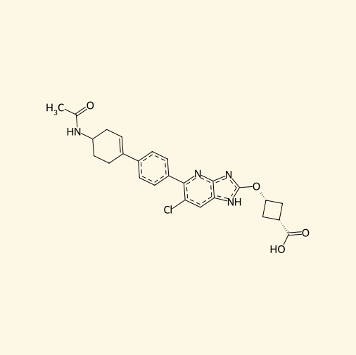 CC(=O)NC1CC=C(c2ccc(-c3nc4nc(O[C@H]5C[C@@H](C(=O)O)C5)[nH]c4cc3Cl)cc2)CC1